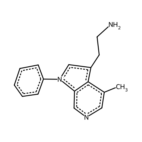 Cc1cncc2c1c(CCN)cn2-c1ccccc1